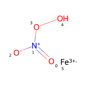 O=[N+]([O-])OO.[Fe+3]